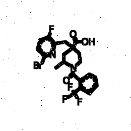 CC1CC(Cc2nc(Br)ccc2F)(C(=O)O)CCN1C(=O)c1ccccc1C(F)(F)F